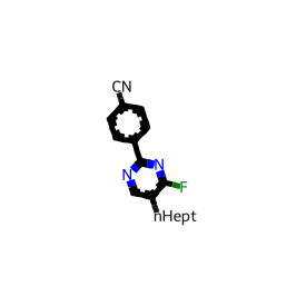 CCCCCCCc1cnc(-c2ccc(C#N)cc2)nc1F